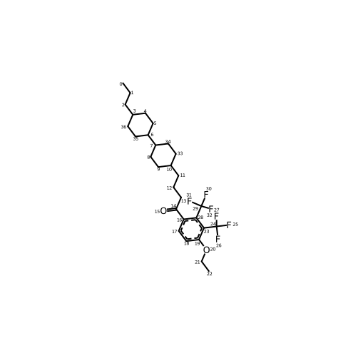 CCCC1CCC(C2CCC(CCCC(=O)c3ccc(OCC)c(C(F)(F)F)c3C(F)(F)F)CC2)CC1